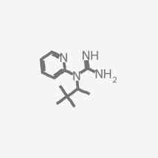 CC(N(C(=N)N)c1ccccn1)C(C)(C)C